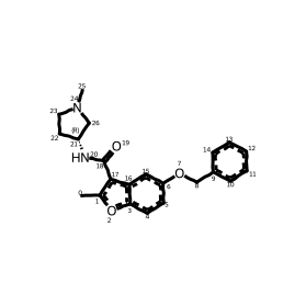 Cc1oc2ccc(OCc3ccccc3)cc2c1C(=O)N[C@@H]1CCN(C)C1